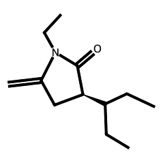 C=C1C[C@H](C(CC)CC)C(=O)N1CC